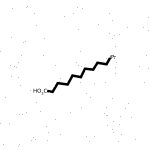 [CH2]C(C)CCCCCCCCCC(=O)O